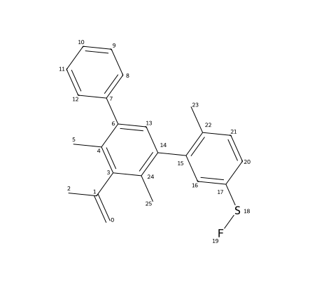 C=C(C)c1c(C)c(-c2ccccc2)cc(-c2cc(SF)ccc2C)c1C